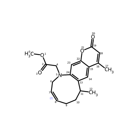 COC(=O)CN1C/C=C\CCC(C)c2cc3c(C)cc(=O)oc3cc21